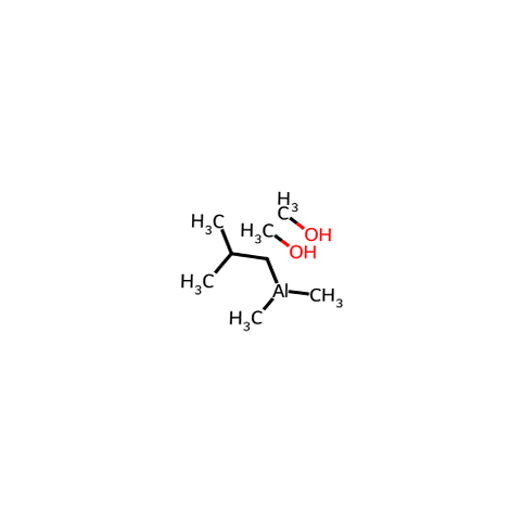 CC(C)[CH2][Al]([CH3])[CH3].CO.CO